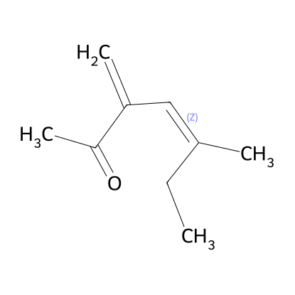 C=C(/C=C(/C)CC)C(C)=O